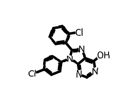 Oc1ncnc2c1nc(-c1ccccc1Cl)n2-c1ccc(Cl)cc1